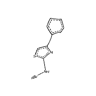 CCCCNc1nc(-c2ccccc2)cs1